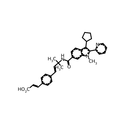 Cn1c(-c2ccccn2)c(C2CCCC2)c2ccc(C(=O)NC(C)(C)C=Cc3ccc(C=CC(=O)O)cc3)cc21